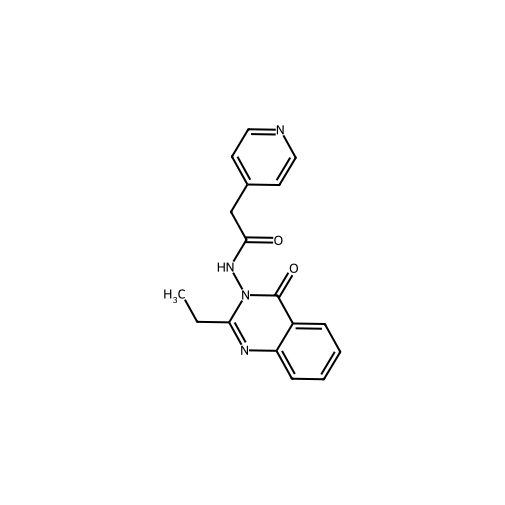 CCc1nc2ccccc2c(=O)n1NC(=O)Cc1ccncc1